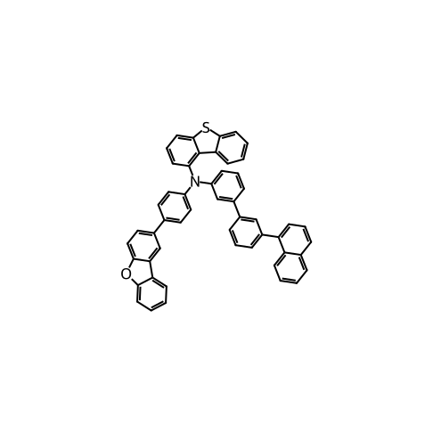 c1cc(-c2cccc(N(c3ccc(-c4ccc5oc6ccccc6c5c4)cc3)c3cccc4sc5ccccc5c34)c2)cc(-c2cccc3ccccc23)c1